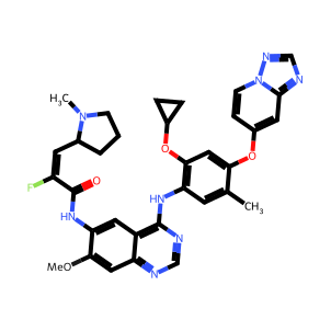 COc1cc2ncnc(Nc3cc(C)c(Oc4ccn5ncnc5c4)cc3OC3CC3)c2cc1NC(=O)/C(F)=C\C1CCCN1C